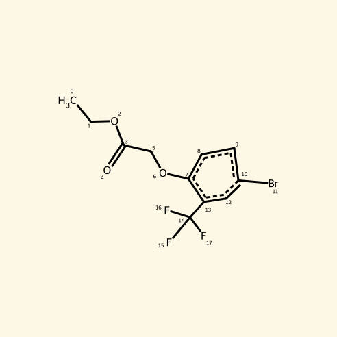 CCOC(=O)COc1ccc(Br)cc1C(F)(F)F